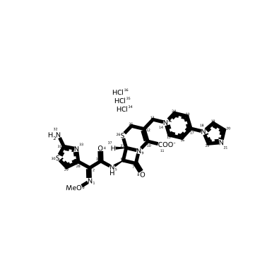 CON=C(C(=O)N[C@@H]1C(=O)N2C(C(=O)[O-])=C(C[n+]3ccc(-n4ccnc4)cc3)CS[C@@H]12)c1csc(N)n1.Cl.Cl.Cl